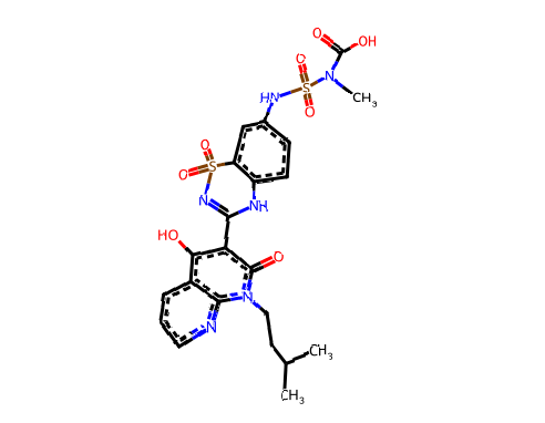 CC(C)CCn1c(=O)c(C2=NS(=O)(=O)c3cc(NS(=O)(=O)N(C)C(=O)O)ccc3N2)c(O)c2cccnc21